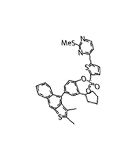 CSc1nccc(-c2ccc(S(=O)(=O)Oc3ccc(-c4c5ccccc5cc5sc(C)c(C)c45)cc3C3CCCC3)s2)n1